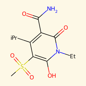 CCn1c(O)c(S(C)(=O)=O)c(C(C)C)c(C(N)=O)c1=O